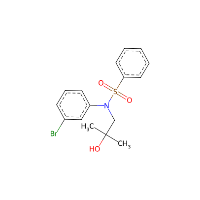 CC(C)(O)CN(c1cccc(Br)c1)S(=O)(=O)c1ccccc1